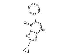 O=c1c(-c2ccccc2)c[nH]c2nc(C3CC3)nn12